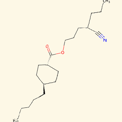 CCCCC[C@H]1CC[C@H](C(=O)OCCCC(C#N)CCC)CC1